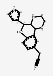 N#CCc1ccc2c(c1)C1OCCOC1C(c1ccsc1)N2